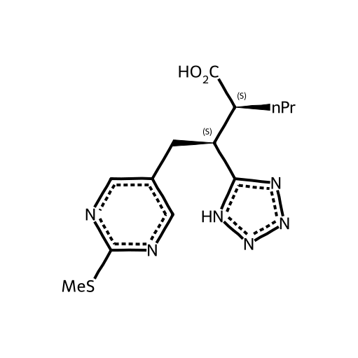 CCC[C@H](C(=O)O)[C@H](Cc1cnc(SC)nc1)c1nnn[nH]1